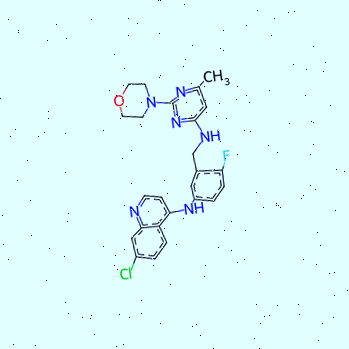 Cc1cc(NCc2cc(Nc3ccnc4cc(Cl)ccc34)ccc2F)nc(N2CCOCC2)n1